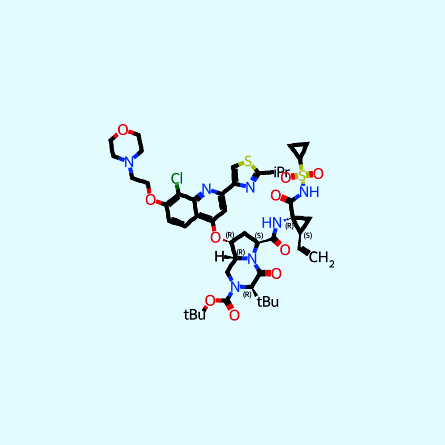 C=C[C@@H]1C[C@]1(NC(=O)[C@@H]1C[C@@H](Oc2cc(-c3csc(C(C)C)n3)nc3c(Cl)c(OCCN4CCOCC4)ccc23)[C@H]2CN(C(=O)OC(C)(C)C)[C@H](C(C)(C)C)C(=O)N21)C(=O)NS(=O)(=O)C1CC1